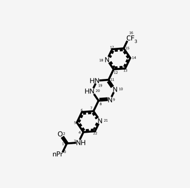 CCCC(=O)Nc1ccc(C2=NN=C(c3ccc(C(F)(F)F)cn3)NN2)nc1